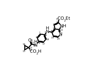 CCOC(=O)c1cc2c(Nc3ccc(NC(=O)C4(C(=O)O)CC4)cc3)ccnc2[nH]1